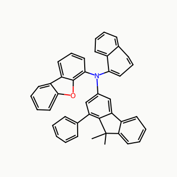 CC1(C)c2ccccc2-c2cc(N(c3cccc4ccccc34)c3cccc4c3oc3ccccc34)cc(-c3ccccc3)c21